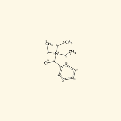 CC[N+](CC)(CC)C(Cl)c1ccccc1